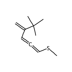 C=C(C=C=CSC)C(C)(C)C